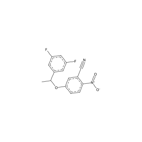 CC(Oc1ccc([N+](=O)[O-])c(C#N)c1)c1cc(F)cc(F)c1